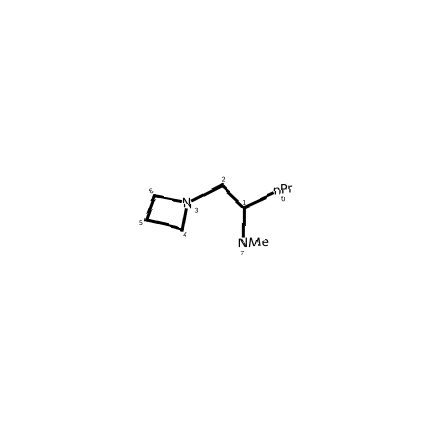 CCCC(CN1CCC1)NC